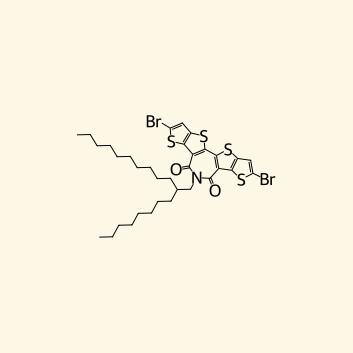 CCCCCCCCCCC(CCCCCCCC)Cn1c(=O)c2c3sc(Br)cc3sc2c2sc3cc(Br)sc3c2c1=O